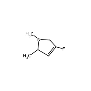 CC1C=C(F)CN1C